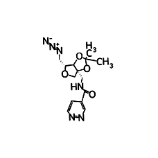 CC1(C)OC2[C@@H](CN=[N+]=[N-])OC[C@]2(CNC(=O)c2ccnnc2)O1